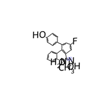 COc1ccccc1-c1c(/C(N)=N/O)cc(F)cc1-c1ccc(O)cc1